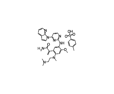 C=C(C(N)=O)c1cc(Nc2nccc(-n3ccc4cccnc43)n2)c(OC)cc1N(C)CCN(C)C.Cc1ccc(S(=O)(=O)O)cc1